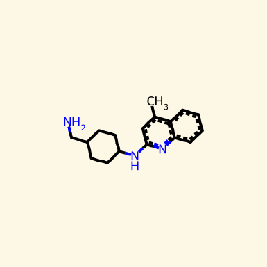 Cc1cc(NC2CCC(CN)CC2)nc2ccccc12